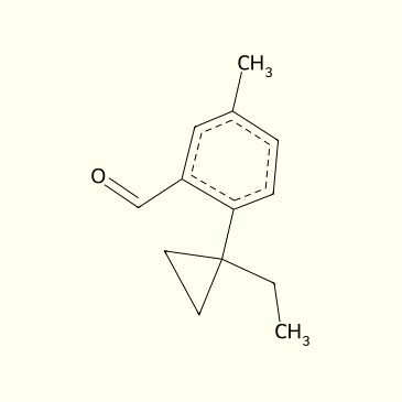 CCC1(c2ccc(C)cc2C=O)CC1